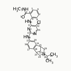 CNC(=O)c1ccccc1Nc1nc(Nc2ccc3c(c2)C2CC3CN(C(C)C)C2)ncc1Cl